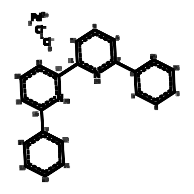 [Cl-].[Cl-].[Pd+2].c1ccc(-c2cccc(-c3cccc(-c4ccccc4)n3)n2)cc1